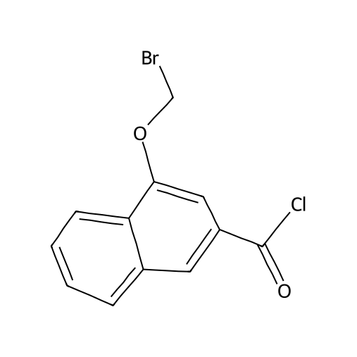 O=C(Cl)c1cc(OCBr)c2ccccc2c1